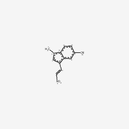 Cn1cc(C=C[N+](=O)[O-])c2cc(C#N)ccc21